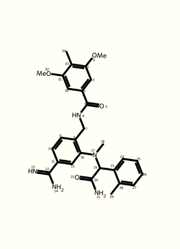 COc1cc(C(=O)NCc2ccc(C(=N)N)cc2N(C)C(C(N)=O)c2ccccc2C)cc(OC)c1C